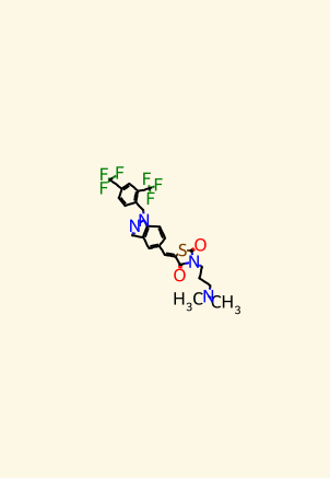 CN(C)CCCN1C(=O)S/C(=C\c2ccc3c(cnn3Cc3ccc(C(F)(F)F)cc3C(F)(F)F)c2)C1=O